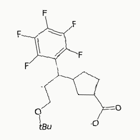 CC(C)(C)OC[CH]C(c1c(F)c(F)c(F)c(F)c1F)C1CCC(C([O])=O)C1